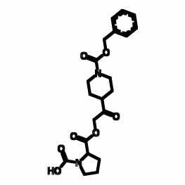 O=C(COC(=O)C1CCCN1C(=O)O)C1CCN(C(=O)OCc2ccccc2)CC1